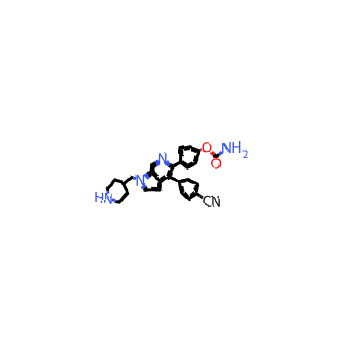 N#Cc1ccc(-c2c(-c3ccc(OC(N)=O)cc3)ncc3c2ccn3CC2CCNCC2)cc1